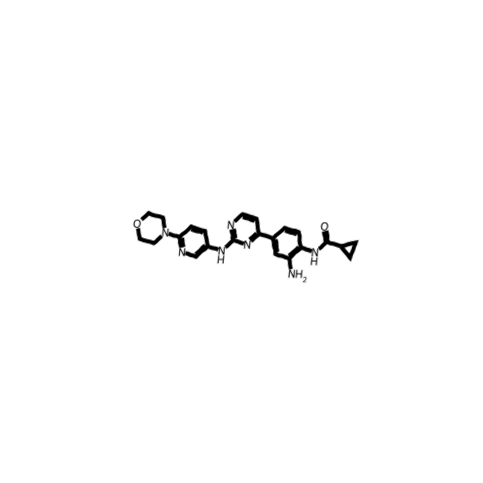 Nc1cc(-c2ccnc(Nc3ccc(N4CCOCC4)nc3)n2)ccc1NC(=O)C1CC1